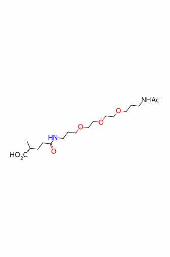 CC(=O)NCCCOCCOCCOCCCNC(=O)CC[C@H](C)C(=O)O